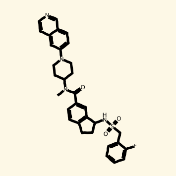 CN(C(=O)c1ccc2c(c1)C(NS(=O)(=O)Cc1ccccc1F)CC2)C1CCN(c2ccc3cnccc3c2)CC1